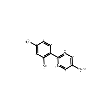 CCCCCCCCCc1cnc(-c2ccc(C)cc2S)nc1